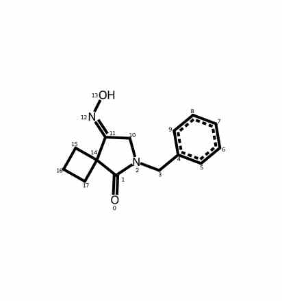 O=C1N(Cc2ccccc2)C/C(=N\O)C12CCC2